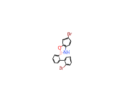 Brc1ccc2c(c1)OB(c1ccccc1-c1ccccc1Br)N2